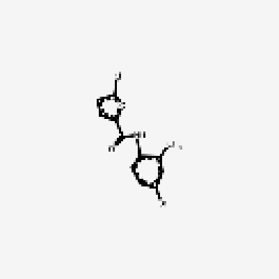 Cc1cc(Br)ccc1NC(=O)c1ccc(Cl)o1